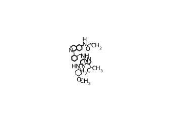 C=CC(=O)Nc1ccc2c(-c3ccccc3CNc3cc(N[C@H]4CC[C@H](OC)CC4)nc4c(C(C)C)cnn34)nccc2c1